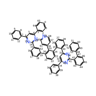 c1ccc(-c2cc(-c3ccccc3)nc(-c3cccc(-c4cccc(-c5ccccc5-c5cc(-c6ccccc6)nc(-c6ccccc6-c6ccccc6)n5)c4-c4ccncc4)c3)n2)cc1